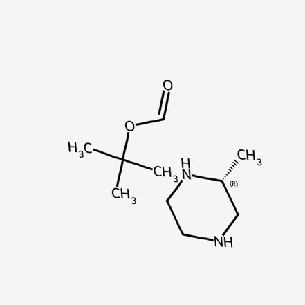 CC(C)(C)OC=O.C[C@@H]1CNCCN1